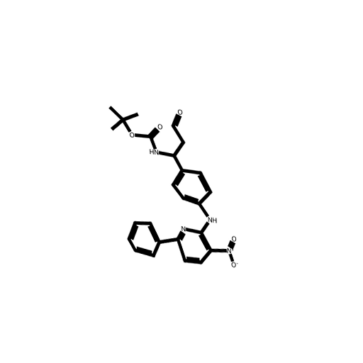 CC(C)(C)OC(=O)NC(CC=O)c1ccc(Nc2nc(-c3ccccc3)ccc2[N+](=O)[O-])cc1